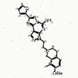 COc1ccc2c(c1C)CN(CCn1ncc3c1nc(N)n1nc(-c4ccco4)nc31)CC2